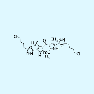 Cc1[nH]c(-c2nnc(CCCCCl)o2)c(C)c1C(=O)c1c(C)[nH]c(-c2nnc(CCCCCl)o2)c1C